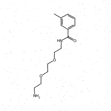 Cc1cccc(C(=O)NCCOCCOCCN)c1